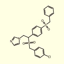 O=S(=O)(Cc1ccccc1)c1ccc(C(Cn2ccnc2)S(=O)(=O)Cc2ccc(Cl)cc2)cc1